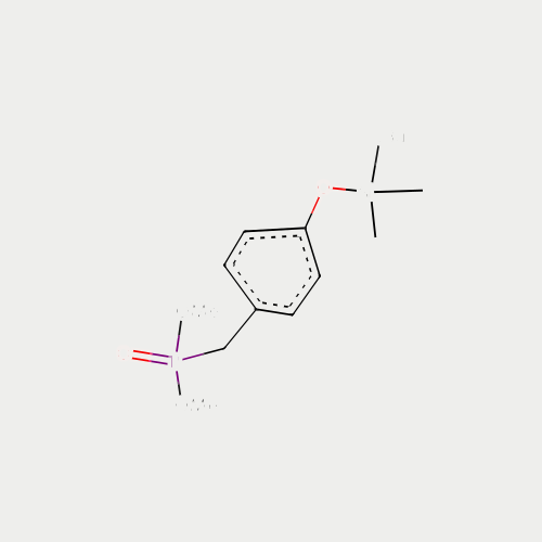 COP(=O)(Cc1ccc(O[Si](C)(C)C(C)(C)C)cc1)OC